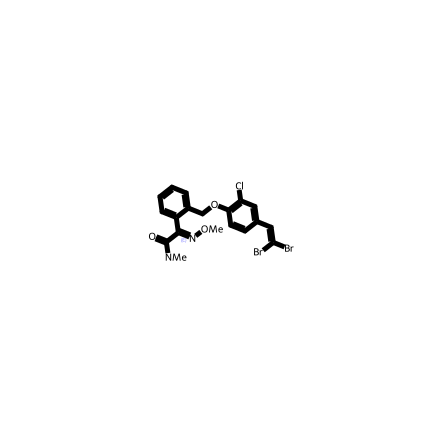 CNC(=O)/C(=N/OC)c1ccccc1COc1ccc(C=C(Br)Br)cc1Cl